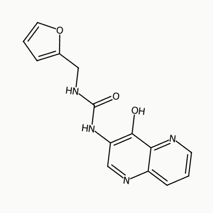 O=C(NCc1ccco1)Nc1cnc2cccnc2c1O